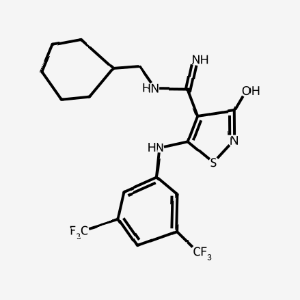 N=C(NCC1CCCCC1)c1c(O)nsc1Nc1cc(C(F)(F)F)cc(C(F)(F)F)c1